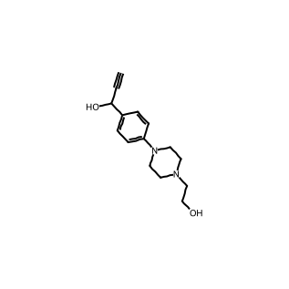 C#CC(O)c1ccc(N2CCN(CCO)CC2)cc1